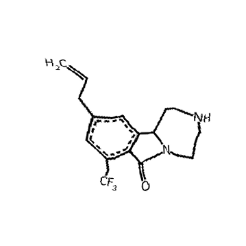 C=CCc1cc2c(c(C(F)(F)F)c1)C(=O)N1CCNCC21